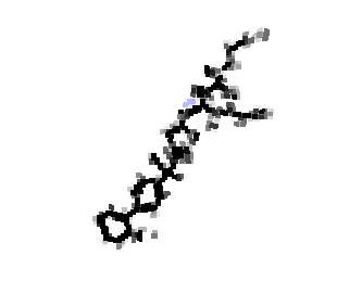 CC(C)(c1ccc(-c2ccccc2F)cc1)c1cc(/N=C(\NCCO)NC(=N)NCCO)on1